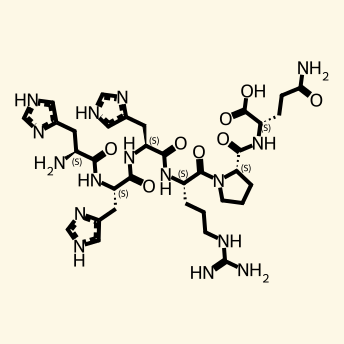 N=C(N)NCCC[C@H](NC(=O)[C@H](Cc1c[nH]cn1)NC(=O)[C@H](Cc1c[nH]cn1)NC(=O)[C@@H](N)Cc1c[nH]cn1)C(=O)N1CCC[C@H]1C(=O)N[C@@H](CCC(N)=O)C(=O)O